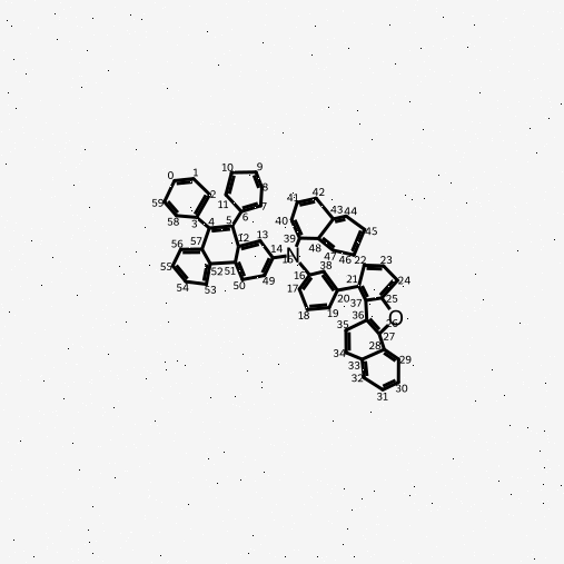 c1ccc(-c2c(-c3ccccc3)c3cc(N(c4cccc(-c5cccc6oc7c8ccccc8ccc7c56)c4)c4cccc5ccccc45)ccc3c3ccccc23)cc1